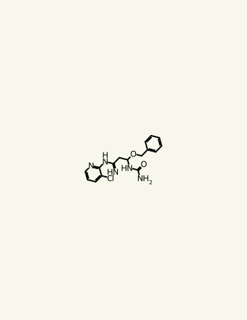 N=C(CC(NC(N)=O)OCc1ccccc1)Nc1ncccc1Cl